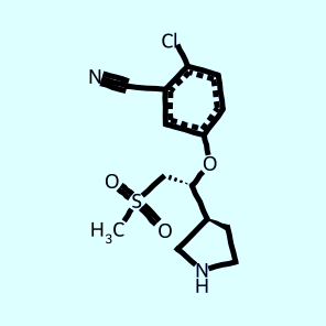 CS(=O)(=O)C[C@H](Oc1ccc(Cl)c(C#N)c1)[C@H]1CCNC1